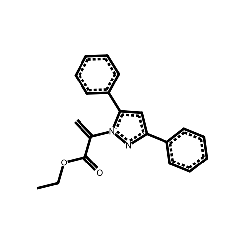 C=C(C(=O)OCC)n1nc(-c2ccccc2)cc1-c1ccccc1